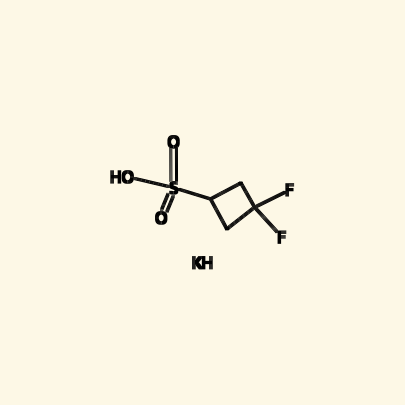 O=S(=O)(O)C1CC(F)(F)C1.[KH]